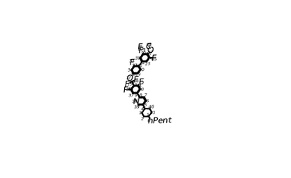 CCCCCC1CCC(c2ccc(-c3cc(F)c(C(F)(F)Oc4ccc(-c5cc(F)c(OC(F)(F)F)c(F)c5)c(F)c4)c(F)c3)nc2)CC1